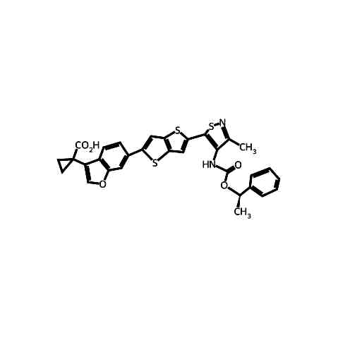 Cc1nsc(-c2cc3sc(-c4ccc5c(C6(C(=O)O)CC6)coc5c4)cc3s2)c1NC(=O)O[C@H](C)c1ccccc1